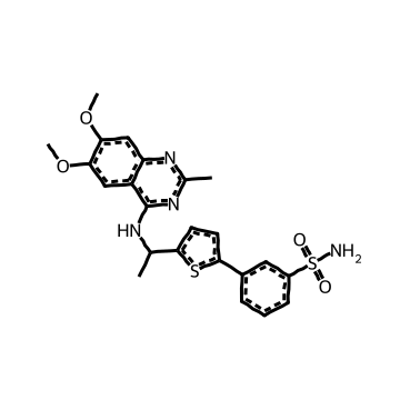 COc1cc2nc(C)nc(NC(C)c3ccc(-c4cccc(S(N)(=O)=O)c4)s3)c2cc1OC